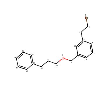 BrCCc1cccc(COCCCc2ccccc2)c1